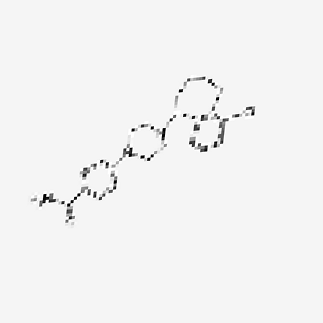 NC(=O)c1ccc(N2CCN(C3CCCCc4c(Cl)cccc43)CC2)cc1